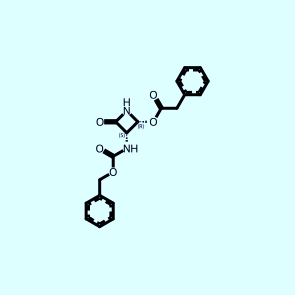 O=C(Cc1ccccc1)O[C@H]1NC(=O)[C@H]1NC(=O)OCc1ccccc1